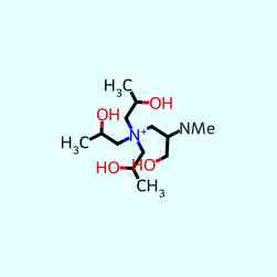 CNC(CO)C[N+](CC(C)O)(CC(C)O)CC(C)O